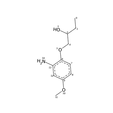 CCC(O)COc1ccc(OC)cc1N